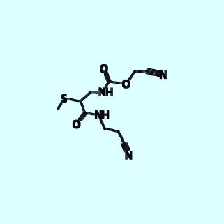 CSC(CNC(=O)OCC#N)C(=O)NCCC#N